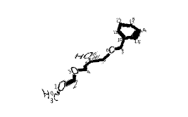 COCOC[C@H](O)COCc1ccccc1